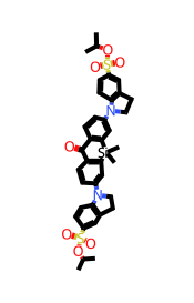 CC(C)OS(=O)(=O)c1ccc2c(c1)CCN2c1ccc2c(c1)[Si](C)(C)c1cc(N3CCc4cc(S(=O)(=O)OC(C)C)ccc43)ccc1C2=O